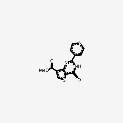 COC(=O)c1csc2c(=O)[nH]c(-c3ccncc3)nc12